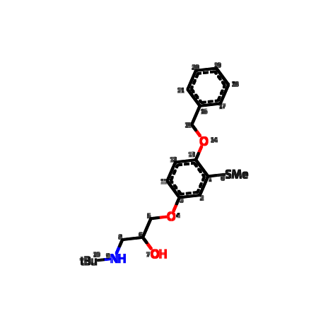 CSc1cc(OCC(O)CNC(C)(C)C)ccc1OCc1ccccc1